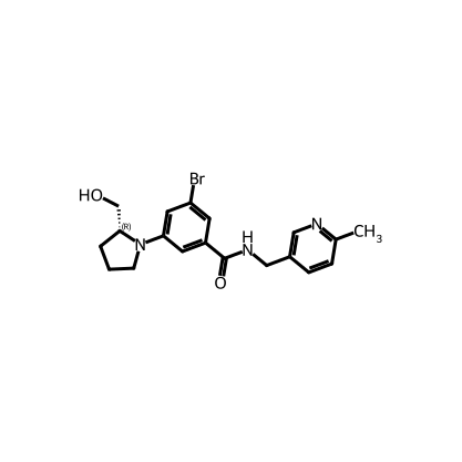 Cc1ccc(CNC(=O)c2cc(Br)cc(N3CCC[C@@H]3CO)c2)cn1